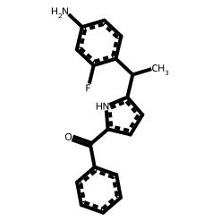 CC(c1ccc(C(=O)c2ccccc2)[nH]1)c1ccc(N)cc1F